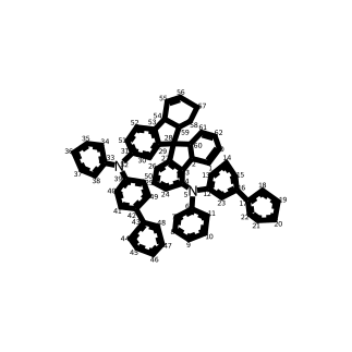 C1=CC2c3c(N(c4ccccc4)c4cccc(-c5ccccc5)c4)cccc3C3(c4cc(N(c5ccccc5)c5ccc(-c6ccccc6)cc5)ccc4C4C=CCCC43)C2C=C1